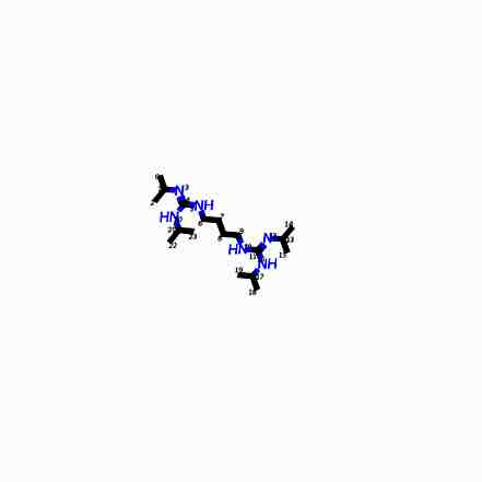 CC(C)N=C(NCCCCNC(=NC(C)C)NC(C)C)NC(C)C